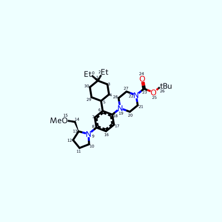 CCC1(CC)CCC(c2cc(N3CCC[C@H]3COC)ccc2N2CCN(C(=O)OC(C)(C)C)CC2)CC1